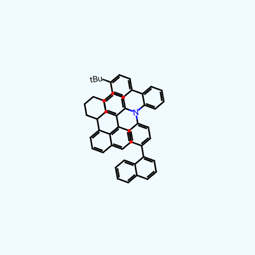 CC(C)(C)c1ccc(-c2ccccc2N(c2ccc(-c3cccc4ccccc34)cc2)c2ccccc2-c2cccc3cccc(C4CCCCC4)c23)cc1